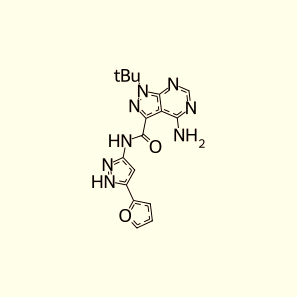 CC(C)(C)n1nc(C(=O)Nc2cc(-c3ccco3)[nH]n2)c2c(N)ncnc21